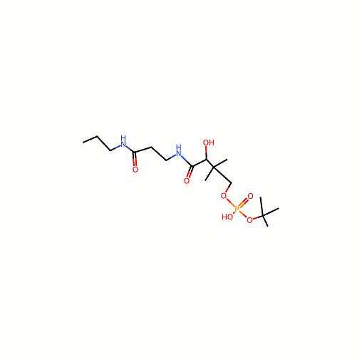 CCCNC(=O)CCNC(=O)C(O)C(C)(C)COP(=O)(O)OC(C)(C)C